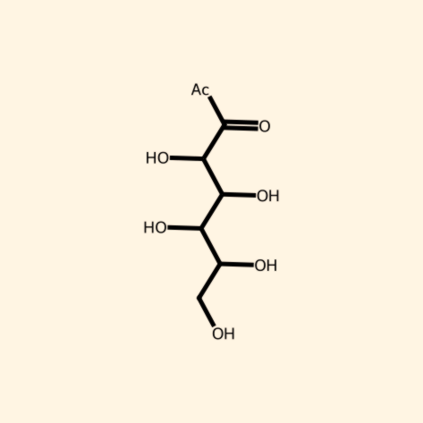 CC(=O)C(=O)C(O)C(O)C(O)C(O)CO